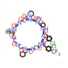 CC[C@H](C)[C@@H]1NC(=O)[C@H](C)N(C)C(=O)C[C@@H](C(=O)N2CCCCC2)N(C)C(=O)[C@H](C(C)C)N(C)C(=O)C2(CCCC2)NC(=O)[C@H](Cc2ccc(Cl)cc2)N(C)C(=O)[C@H](CCc2ccc(C(F)(F)F)c(Cl)c2)NC(=O)CN(C)C(=O)[C@H](CC2CCCCC2)N(C)C(=O)CN(C)C(=O)CN(C)C1=O